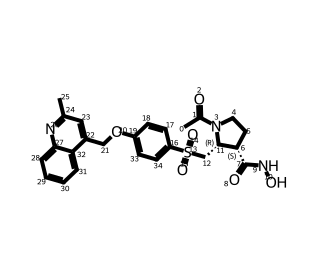 CC(=O)N1CC[C@H](C(=O)NO)[C@@H]1CS(=O)(=O)c1ccc(OCc2cc(C)nc3ccccc23)cc1